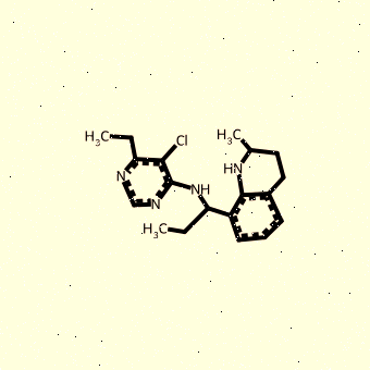 CCc1ncnc(NC(CC)c2cccc3c2NC(C)CC3)c1Cl